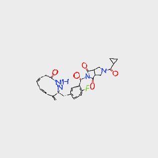 C=C1/C=C\C=C/CC(=O)N/N=C\1Cc1ccc(F)c(C(=O)N2C(=O)C3CN(C(=O)C4CC4)CC3C2=O)c1